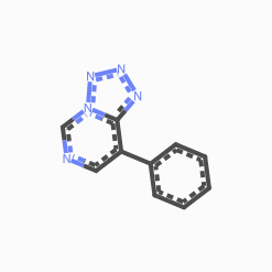 c1ccc(-c2cncn3nnnc23)cc1